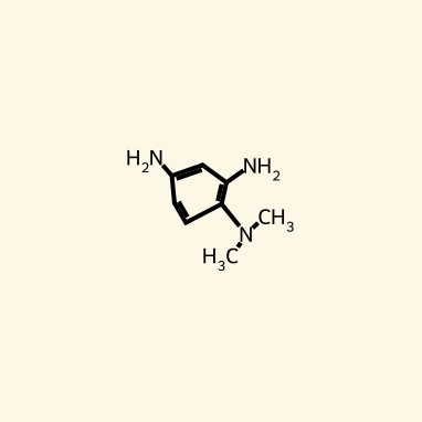 CN(C)c1ccc(N)cc1N